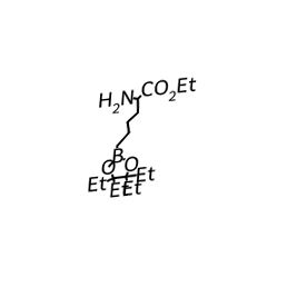 CCOC(=O)C(N)CCCCB1OC(CC)(CC)C(CC)(CC)O1